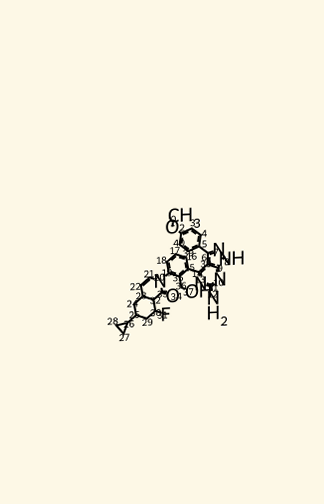 COc1ccc(-c2n[nH]c3nc(N)nc(-c4cccc(N5C=CC6CC(C7CC7)CC(F)C6C5=O)c4CO)c23)cc1